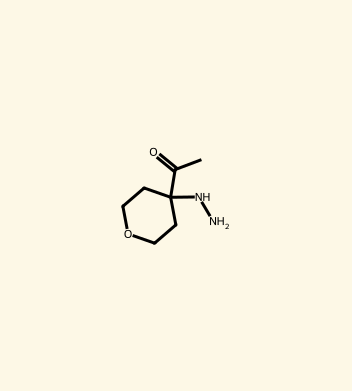 CC(=O)C1(NN)CCOCC1